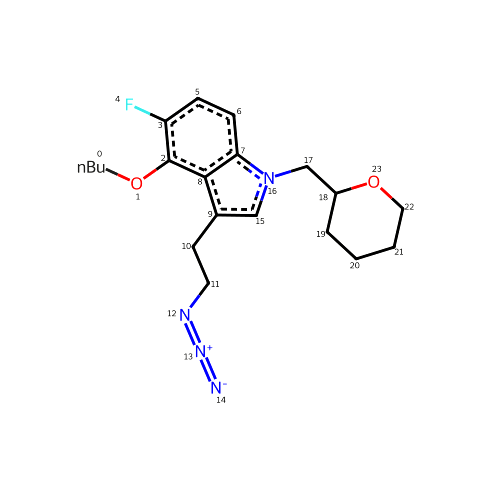 CCCCOc1c(F)ccc2c1c(CCN=[N+]=[N-])cn2CC1CCCCO1